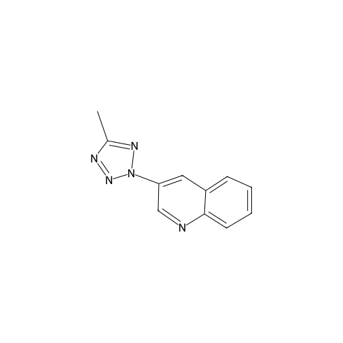 Cc1nnn(-c2cnc3ccccc3c2)n1